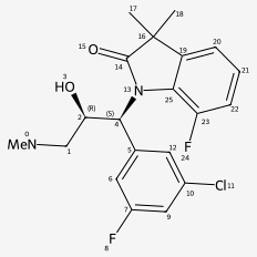 CNC[C@@H](O)[C@H](c1cc(F)cc(Cl)c1)N1C(=O)C(C)(C)c2cccc(F)c21